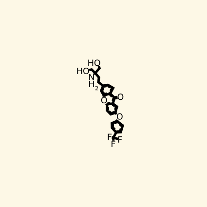 NC(CO)(CO)CCc1ccc2c(=O)c3cc(Oc4ccc(C(F)(F)F)cc4)ccc3oc2c1